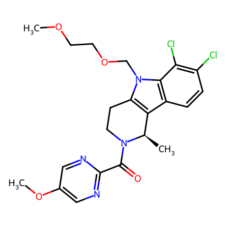 COCCOCn1c2c(c3ccc(Cl)c(Cl)c31)[C@@H](C)N(C(=O)c1ncc(OC)cn1)CC2